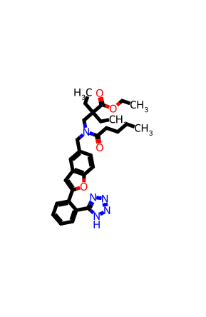 CCCCC(=O)N(Cc1ccc2oc(-c3ccccc3-c3nnn[nH]3)cc2c1)CC(CC)(CC)C(=O)OCC